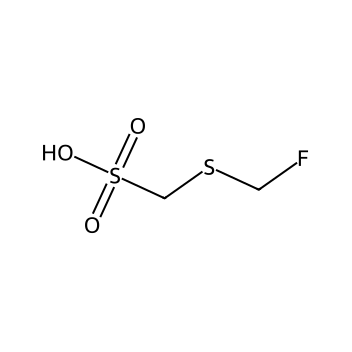 O=S(=O)(O)CSCF